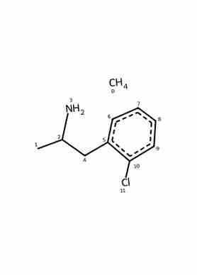 C.CC(N)Cc1ccccc1Cl